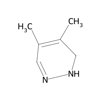 CC1=C(C)CNN=C1